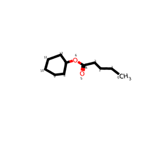 CCCCC(=O)OC1CCCCC1